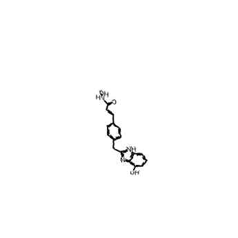 O=C(/C=C/c1ccc(Cc2nc3c(O)cccc3[nH]2)cc1)NO